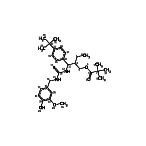 CCC(COC(=O)C(C)(C)C)C(NC(=S)NCc1ccc(O)c(OC)c1)c1ccc(C(C)(C)C)cc1